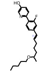 CCCCCOC(C)CCC/C=C/c1ccc(-c2ccc(O)cn2)c(F)c1